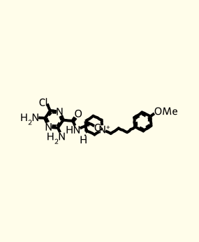 COc1ccc(CCC[N+]23CCC(CC2)[C@H](NC(=O)c2nc(Cl)c(N)nc2N)C3)cc1